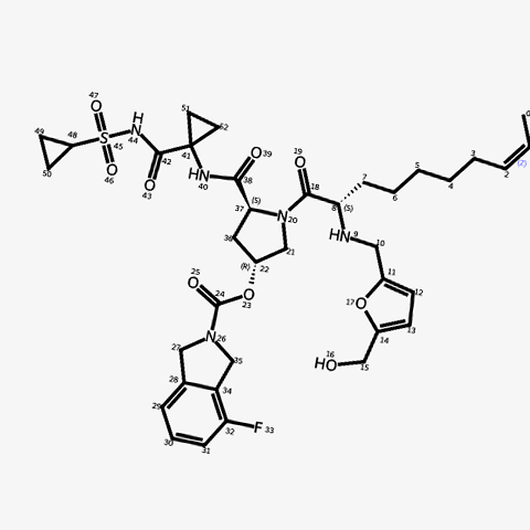 C/C=C\CCCCC[C@H](NCc1ccc(CO)o1)C(=O)N1C[C@H](OC(=O)N2Cc3cccc(F)c3C2)C[C@H]1C(=O)NC1(C(=O)NS(=O)(=O)C2CC2)CC1